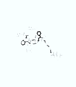 CNC(C)C(=O)NC(C(=O)N1CCN(C(=O)c2c(C(=O)NCCOCCOCCNC(=O)O)c3ccc(OC)cc3n2C)CC1)C1CCCCC1.Cl